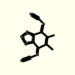 CC1=C(C)C(=N/C#N)/c2nsnc2/C1=N\C#N